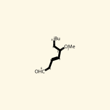 CCC(C)CC(/C=C/CC=O)OC